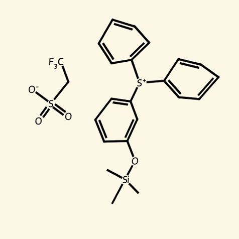 C[Si](C)(C)Oc1cccc([S+](c2ccccc2)c2ccccc2)c1.O=S(=O)([O-])CC(F)(F)F